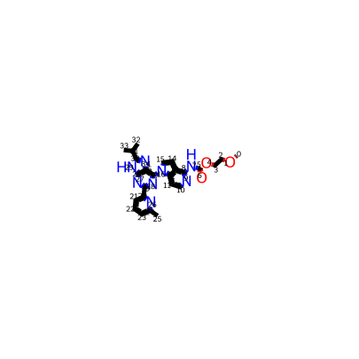 COCCOC(=O)Nc1nccc2c1ccn2-c1nc(-c2cccc(C)n2)nc2[nH]c(C(C)C)nc12